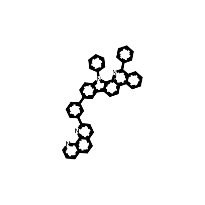 c1ccc(-c2nc3c(ccc4c5cc(-c6cccc(-c7ccc8ccc9cccnc9c8n7)c6)ccc5n(-c5ccccc5)c43)c3ccccc23)cc1